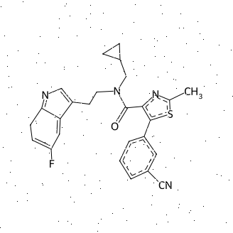 Cc1nc(C(=O)N(CCC2=CN=C3CC=C(F)C=C23)CC2CC2)c(-c2cccc(C#N)c2)s1